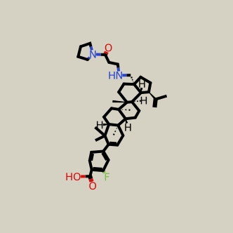 C=C(C)[C@@H]1CC[C@]2(CNCCC(=O)N3CCCC3)CC[C@]3(C)[C@H](CC[C@@H]4[C@@]5(C)CC=C(c6ccc(C(=O)O)c(F)c6)C(C)(C)[C@@H]5CC[C@]43C)[C@@H]12